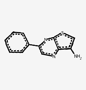 Nc1csc2nc(-c3ccccc3)cnc12